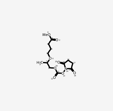 COC(=O)CCCOC(C)COC(=O)ON1C(=O)CCC1=O